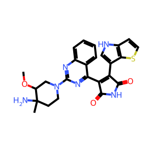 COC1CN(c2nc(C3=C(c4c[nH]c5ccsc45)C(=O)NC3=O)c3ccccc3n2)CCC1(C)N